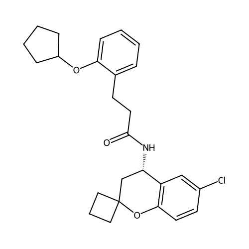 O=C(CCc1ccccc1OC1CCCC1)N[C@H]1CC2(CCC2)Oc2ccc(Cl)cc21